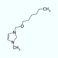 CCCCCCOCN1C=CN(C)C1